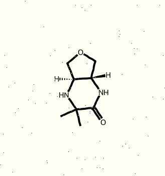 CC1(C)N[C@H]2COC[C@@H]2NC1=O